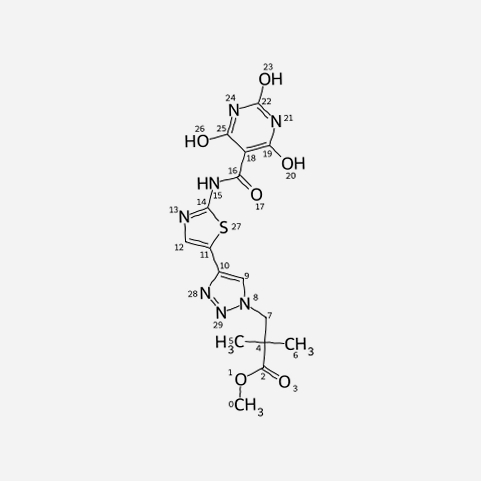 COC(=O)C(C)(C)Cn1cc(-c2cnc(NC(=O)c3c(O)nc(O)nc3O)s2)nn1